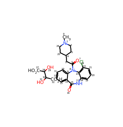 CN1CCC(CC(=O)N2c3ccccc3C(=O)Nc3cccc(Cl)c32)CC1.O=C(O)C(O)C(O)C(=O)O